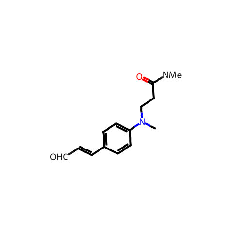 CNC(=O)CCN(C)c1ccc(/C=C/C=O)cc1